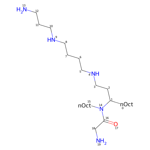 CCCCCCCCC(CCNCCCCNCCCN)N(CCCCCCCC)C(=O)CN